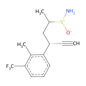 C#C[C@@H](CC(C)[S+](N)[O-])c1cccc(C(F)(F)F)c1C